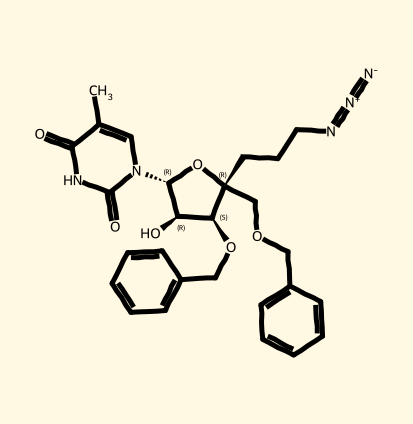 Cc1cn([C@@H]2O[C@](CCCN=[N+]=[N-])(COCc3ccccc3)[C@@H](OCc3ccccc3)[C@H]2O)c(=O)[nH]c1=O